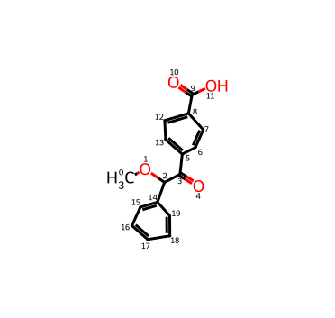 COC(C(=O)c1ccc(C(=O)O)cc1)c1ccccc1